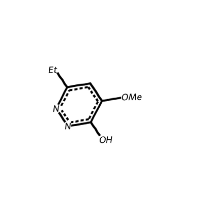 CCc1cc(OC)c(O)nn1